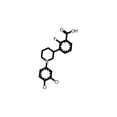 O=C(O)c1cccc(C2CCCN(c3ccc(Cl)c(Cl)c3)C2)c1F